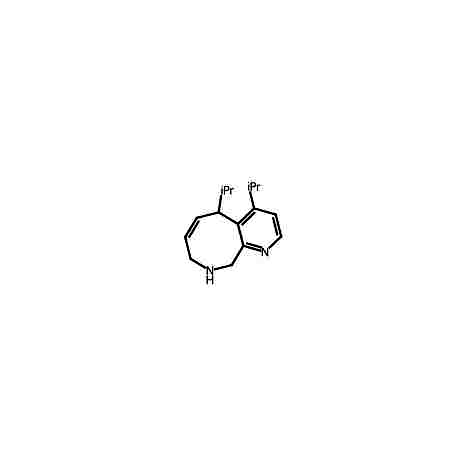 CC(C)c1ccnc2c1C(C(C)C)/C=C\CNC2